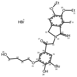 Br.CCOc1cc2c(c(F)c1OCC)C(=N)N(CC(=O)c1cc(OCCCCO)c(O)c(C(C)(C)C)c1)C2